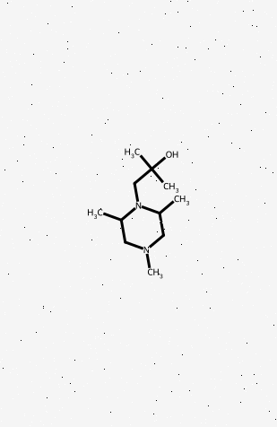 CC1CN(C)CC(C)N1CC(C)(C)O